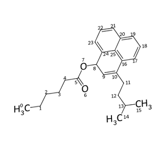 CCCCCC(=O)OC1C=C(CCC(C)C)c2cccc3cccc1c23